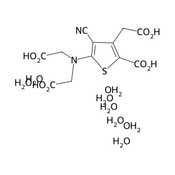 N#Cc1c(N(CC(=O)O)CC(=O)O)sc(C(=O)O)c1CC(=O)O.O.O.O.O.O.O.O.O